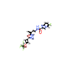 C=C(CCNC(=O)c1cn2cc(F)ccc2n1)c1nnc([C@H]2C[C@@H](OC(F)(F)F)C2)o1